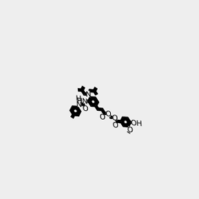 COc1cc(C(=O)OCOC(=O)CCc2ccc(N(CC(C)C)CC(C)C)c(NC(=O)Nc3ccc(C)cc3)c2)ccc1O